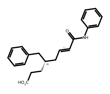 O=C(O)CC[C@@H](C/C=C/C(=O)Nc1ccccc1)Cc1ccccc1